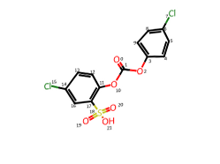 O=C(Oc1ccc(Cl)cc1)Oc1ccc(Cl)cc1S(=O)(=O)O